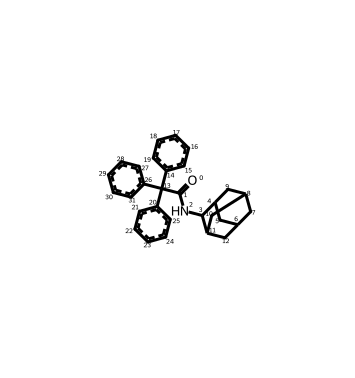 O=C(NC1C2CC3CC(C2)CC1C3)C(c1ccccc1)(c1ccccc1)c1ccccc1